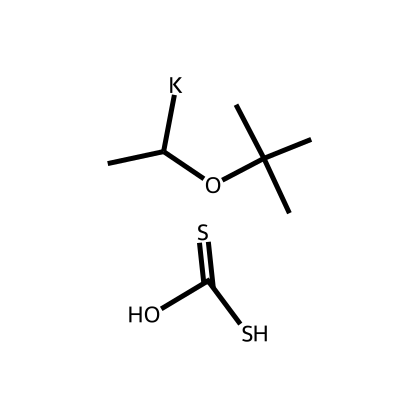 C[CH]([K])OC(C)(C)C.OC(=S)S